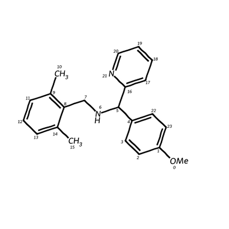 COc1ccc(C(NCc2c(C)cccc2C)c2ccccn2)cc1